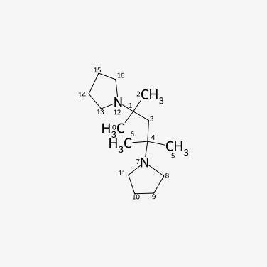 CC(C)(CC(C)(C)N1CCCC1)N1CCCC1